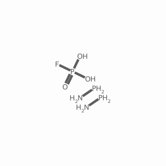 NP.NP.O=P(O)(O)F